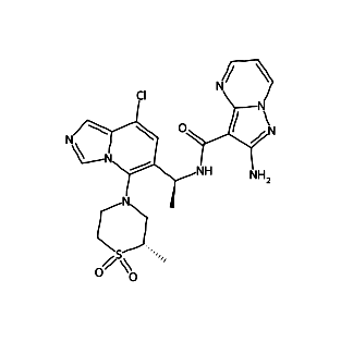 C[C@H](NC(=O)c1c(N)nn2cccnc12)c1cc(Cl)c2cncn2c1N1CCS(=O)(=O)[C@@H](C)C1